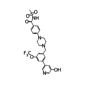 CS(=O)(=O)NC(=O)c1ccc(N2CCN(Cc3cc(OC(F)(F)F)cc(-c4cncc(O)c4)c3)CC2)cc1